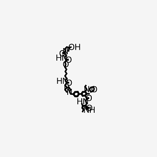 CCN(c1cc(-c2ccc(CN3CCN(CC(=O)NCCCCCCOCC(=O)NCC(=O)N4CCC(O)C4)CC3)cc2)cc(C(=O)NCc2c(C)cc(C)[nH]c2=O)c1C)C1CCOCC1